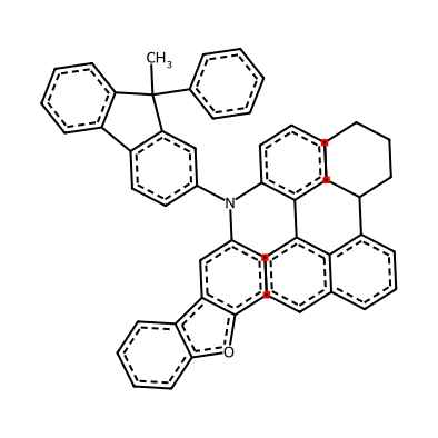 CC1(c2ccccc2)c2ccccc2-c2ccc(N(c3ccc4oc5ccccc5c4c3)c3ccccc3-c3cccc4cccc(C5CCCCC5)c34)cc21